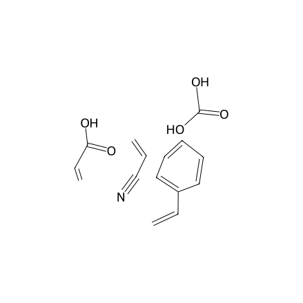 C=CC#N.C=CC(=O)O.C=Cc1ccccc1.O=C(O)O